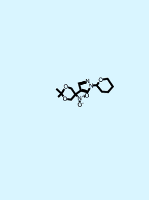 CC1(C)OCC(c2cnn(C3CCCCO3)c2)([N+](=O)[O-])CO1